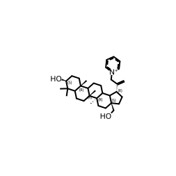 C=C(C[n+]1ccccc1)[C@@H]1CC[C@]2(CO)CC[C@]3(C)C(CCC4[C@@]5(C)CC[C@H](O)C(C)(C)C5CC[C@]43C)C12